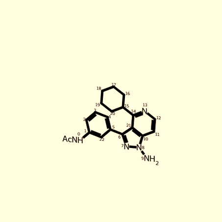 CC(=O)Nc1cccc(-c2nn(N)c3ccnc(C4CCCCC4)c23)c1